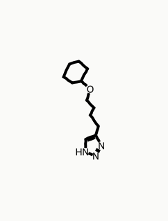 c1[nH]nnc1CCCCOC1CCCCC1